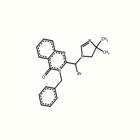 CC(C)C(c1nc2ccccc2c(=O)n1Cc1ccccc1)N1C=NC(C)(C)C1